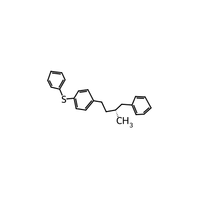 C[C@H](CCc1ccc(Sc2ccccc2)cc1)Cc1ccccc1